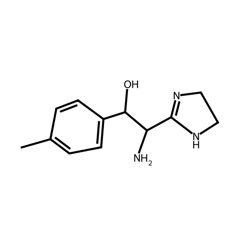 Cc1ccc(C(O)C(N)C2=NCCN2)cc1